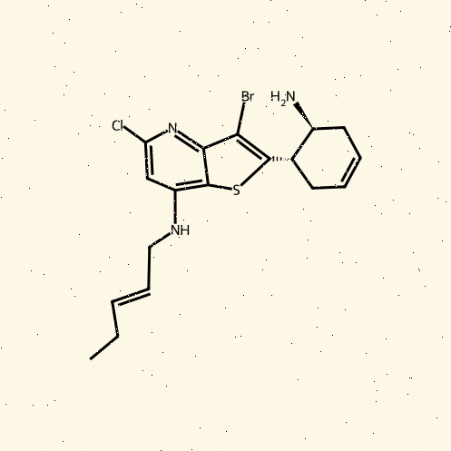 CC/C=C/CNc1cc(Cl)nc2c(Br)c([C@H]3CC=CC[C@@H]3N)sc12